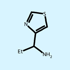 CCC(N)c1cscn1